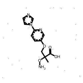 CC(COc1ccc(-n2ccnc2)nc1)(ON)C(=O)O